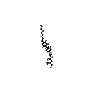 CCCCCCCCCc1ccc(-c2ncc(OCCC(F)CC(F)CC)cn2)cc1